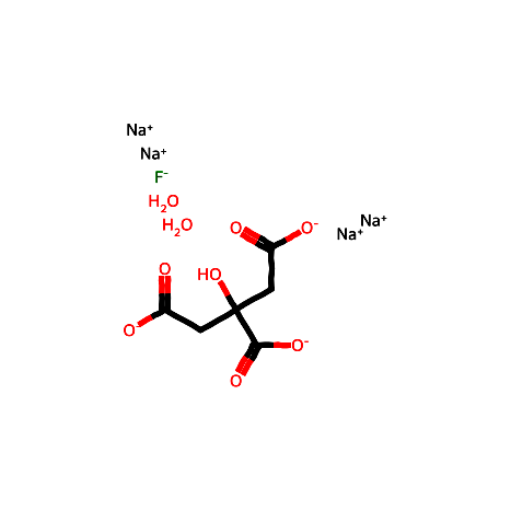 O.O.O=C([O-])CC(O)(CC(=O)[O-])C(=O)[O-].[F-].[Na+].[Na+].[Na+].[Na+]